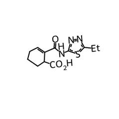 CCc1nnc(NC(=O)C2=CCCCC2C(=O)O)s1